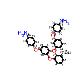 CCCCc1cccc(Oc2cccc(Oc3ccc(N)cc3)c2)c1Oc1cccc(Oc2ccc(N)cc2)c1